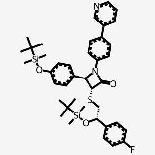 CC(C)(C)[Si](C)(C)Oc1ccc([C@@H]2[C@@H](SC[C@@H](O[Si](C)(C)C(C)(C)C)c3ccc(F)cc3)C(=O)N2c2ccc(-c3cccnc3)cc2)cc1